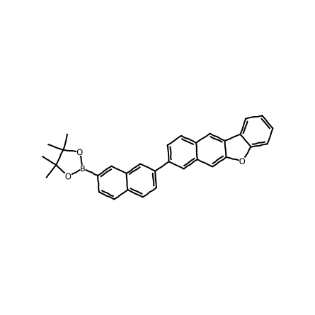 CC1(C)OB(c2ccc3ccc(-c4ccc5cc6c(cc5c4)oc4ccccc46)cc3c2)OC1(C)C